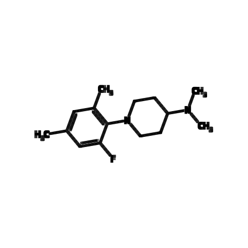 Cc1cc(C)c(N2CCC(N(C)C)CC2)c(F)c1